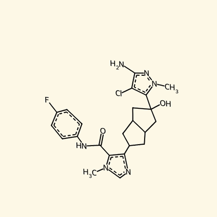 Cn1cnc(C2CC3CC(O)(c4c(Cl)c(N)nn4C)CC3C2)c1C(=O)Nc1ccc(F)cc1